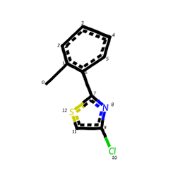 Cc1ccccc1-c1nc(Cl)cs1